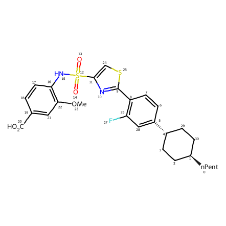 CCCCC[C@H]1CC[C@H](c2ccc(-c3nc(S(=O)(=O)Nc4ccc(C(=O)O)cc4OC)cs3)c(F)c2)CC1